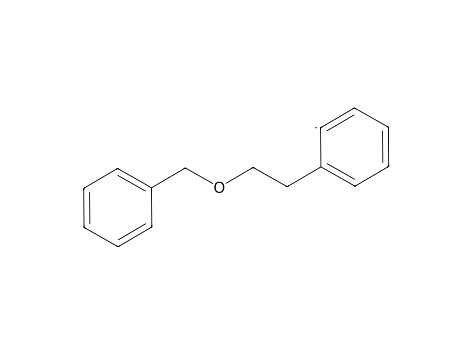 [c]1ccccc1CCOCc1ccccc1